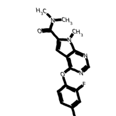 CN(C)C(=O)c1cc2c(Oc3ccc(N=O)cc3F)ncnc2n1C